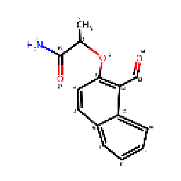 CC(Oc1ccc2ccccc2c1C=O)C(N)=O